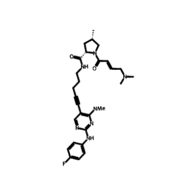 CNc1nc(Nc2ccc(F)cc2)ncc1C#CCCCNC(=O)[C@@H]1C[C@H](C)CN1C(=O)/C=C/CN(C)C